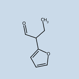 CCC(C=O)c1ccco1